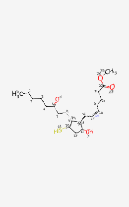 CCCCCC(=O)CC[C@H]1C(S)CC(O)[C@@H]1C/C=C\CCCC(=O)OC